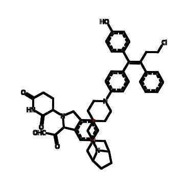 O=CC(=O)C1c2cc(N3C4CCC3CN(CC3CCN(c5ccc(C(=C(CCCl)c6ccccc6)c6ccc(O)cc6)cc5)CC3)C4)ccc2CN1C1CCC(=O)NC1=O